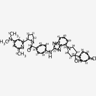 Cc1cc(N(C)C)cc(C2CCCN2C(=O)c2ccc(Nc3nc4c(N5CCC(O)(c6ccc(Cl)cc6)CC5)cccn4n3)cc2)n1